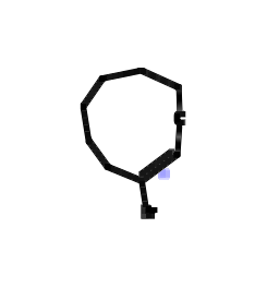 Br/C1=C/CCCCCCC1